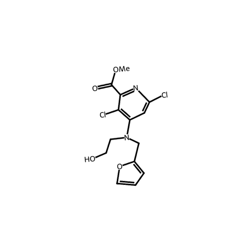 COC(=O)c1nc(Cl)cc(N(CCO)Cc2ccco2)c1Cl